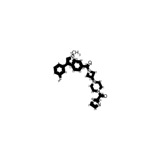 Cn1cc(-c2cccc(F)c2)c2ccc(C(=O)N3CC(N4CCN(C(=O)c5nccs5)CC4)C3)cc21